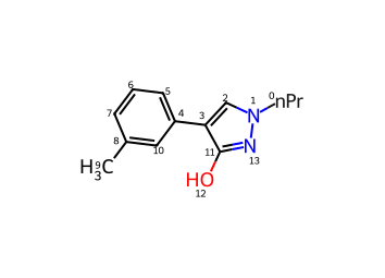 CCCn1cc(-c2cccc(C)c2)c(O)n1